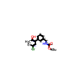 CC/C(Br)=C\C(=C(/C)O)c1cccc(CNC(=O)OC(C)(C)C)c1